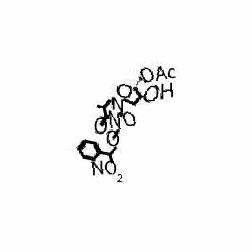 CC(=O)OC[C@H]1O[C@@H](n2cc(C)c(=O)n(COCC(C)c3ccccc3[N+](=O)[O-])c2=O)C[C@@H]1O